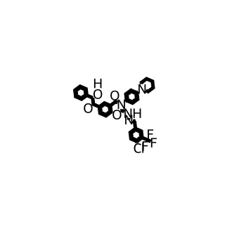 O=C(c1cccc(C(=O)N(C(=O)NN=Cc2ccc(Cl)c(C(F)(F)F)c2)c2ccc(N3CCCCC3)cc2)c1)C(O)c1ccccc1